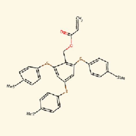 C=CC(=O)OCc1c(Sc2ccc(SC)cc2)cc(Sc2ccc(SC)cc2)cc1Sc1ccc(SC)cc1